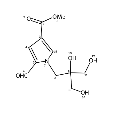 COC(=O)c1cc(C=O)n(CC(O)(CO)CO)c1